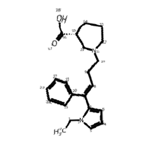 CCn1cccc1/C(=C/CCN1CCC[C@@H](C(=O)O)C1)c1ccccc1